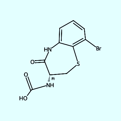 O=C(O)N[C@H]1CSc2c(Br)cccc2NC1=O